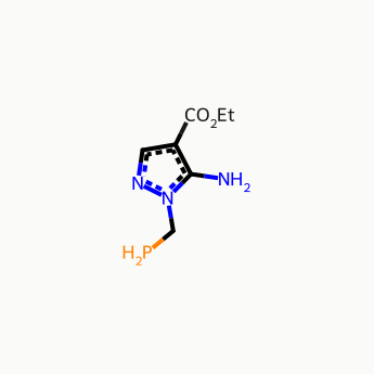 CCOC(=O)c1cnn(CP)c1N